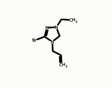 C=CCN1CN(CC)N=C1Br